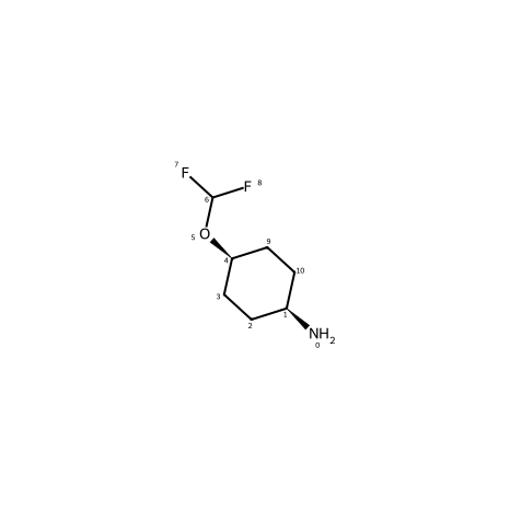 N[C@H]1CC[C@@H](OC(F)F)CC1